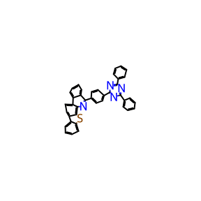 c1ccc(-c2nc(-c3ccccc3)nc(-c3ccc(-c4nc5c(ccc6c7ccccc7sc65)c5ccccc45)cc3)n2)cc1